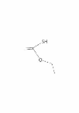 C=C(S)OCC